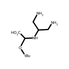 CC(C)(C)OC(NC(CN)CN)C(=O)O